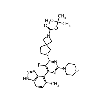 Cc1ccc2[nH]ncc2c1-c1nc(N2CCOCC2)nc(N2CCC3(CN(C(=O)OC(C)(C)C)C3)C2)c1F